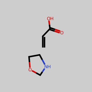 C1COCN1.C=CC(=O)O